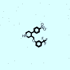 O=[N+]([O-])c1ccc(C2CCNCC2COc2cccc(C(F)(F)F)c2)cc1